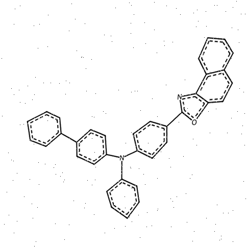 c1ccc(-c2ccc(N(c3ccccc3)c3ccc(-c4nc5c(ccc6ccccc65)o4)cc3)cc2)cc1